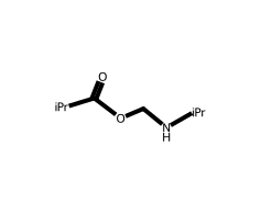 CC(C)NCOC(=O)C(C)C